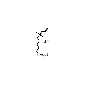 C=CC[N+](C)(C)CCCCCCCCCCCC.[Br-]